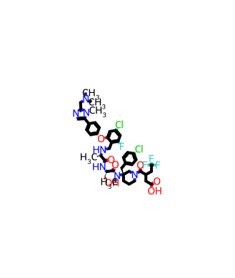 C[C@H](NCc1c(F)cc(Cl)cc1Oc1ccc(-c2cnc(CN(C)C)n2C)cc1)C(=O)N[C@@H](CO)C(=O)N(C)[C@@]1(Cc2ccc(Cl)cc2)CCCN(C(=O)C(CC(=O)O)CC(F)(F)F)C1